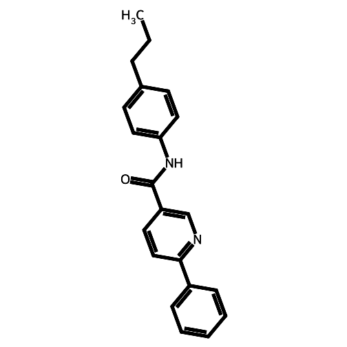 CCCc1ccc(NC(=O)c2ccc(-c3ccccc3)nc2)cc1